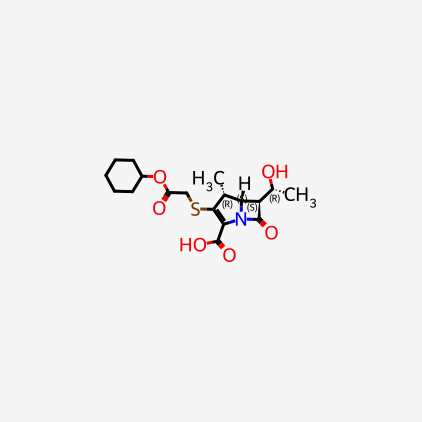 C[C@@H](O)[C@H]1C(=O)N2C(C(=O)O)=C(SCC(=O)OC3CCCCC3)[C@H](C)[C@H]12